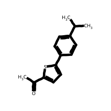 CC(=O)c1ccc(-c2ccc(C(C)C)cc2)s1